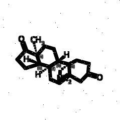 C[C@]12CC[C@H]3[C@@H](CC=C4CC(=O)CC[C@@]43CN)[C@@H]1CCC2=O